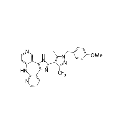 COc1ccc(Cn2nc(C(F)(F)F)c(-c3nc4c([nH]3)-c3cnccc3Nc3ncccc3-4)c2C)cc1